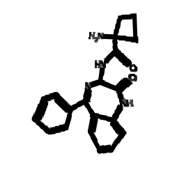 NC1(C(=O)NC2N=C(c3ccccc3)c3ccccc3NC2=O)CCC1